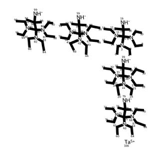 CCN(CC)C(N(CC)CC)(N(CC)CC)C(C)(C)[NH-].CCN(CC)C(N(CC)CC)(N(CC)CC)C(C)(C)[NH-].CCN(CC)C(N(CC)CC)(N(CC)CC)C(C)(C)[NH-].CCN(CC)C(N(CC)CC)(N(CC)CC)C(C)(C)[NH-].CCN(CC)C(N(CC)CC)(N(CC)CC)C(C)(C)[NH-].[Ta+5]